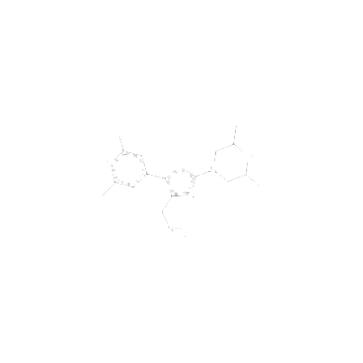 Cc1cc(-c2sc(N3CC(C)OC(C)C3)nc2CN)cc(C)n1